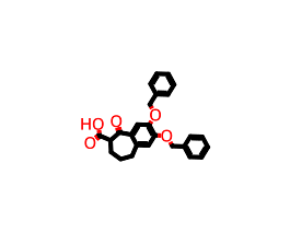 O=C(O)C1CCCc2cc(OCc3ccccc3)c(OCc3ccccc3)cc2C1=O